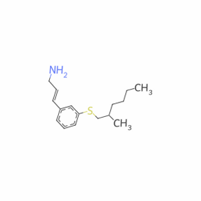 CCCCC(C)CSc1cccc(/C=C/CN)c1